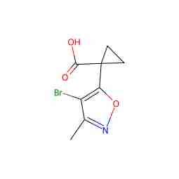 Cc1noc(C2(C(=O)O)CC2)c1Br